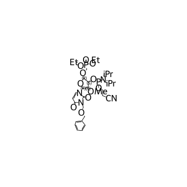 CCOP(=O)(CO[C@H]1O[C@@H](n2ccc(=O)n(COCc3ccccc3)c2=O)[C@H](OC)[C@@H]1OP(OCCC#N)N(C(C)C)C(C)C)OCC